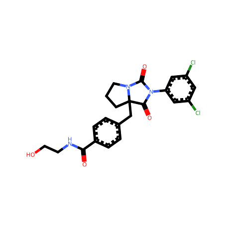 O=C(NCCO)c1ccc(CC23CCCN2C(=O)N(c2cc(Cl)cc(Cl)c2)C3=O)cc1